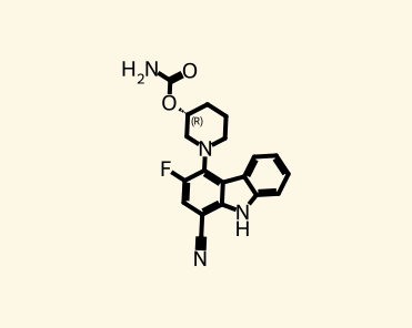 N#Cc1cc(F)c(N2CCC[C@@H](OC(N)=O)C2)c2c1[nH]c1ccccc12